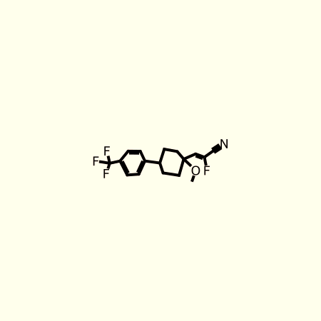 COC1(C=C(F)C#N)CCC(c2ccc(C(F)(F)F)cc2)CC1